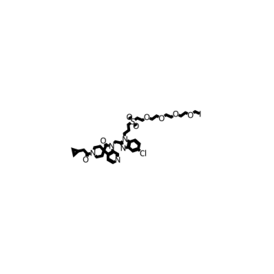 O=C(CC1CC1)N1CCC2(CC1)C(=O)N(Cc1nc3cc(Cl)ccc3n1CCCS(=O)(=O)CCOCCOCCOCCOCI)c1cnccc12